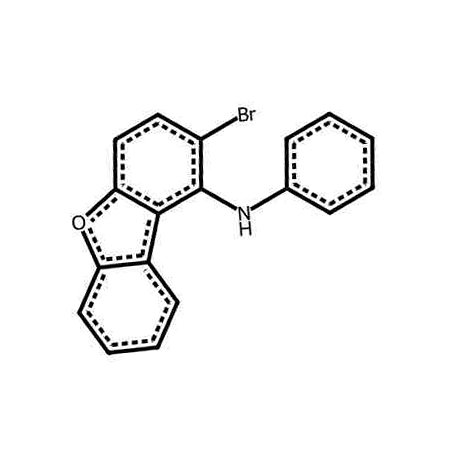 Brc1ccc2oc3ccccc3c2c1Nc1ccccc1